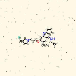 COc1cc2c(NCC3CC3)c3c(nc2cc1OCCCN1CCC(CF)C1)CCC3